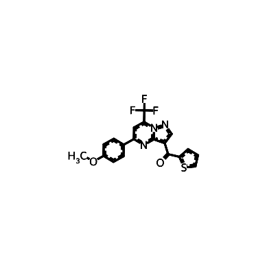 COc1ccc(-c2cc(C(F)(F)F)n3ncc(C(=O)c4cccs4)c3n2)cc1